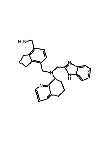 NCc1ccc(CN(Cc2nc3ccccc3[nH]2)C2CCCc3cccnc32)c2c1COC2